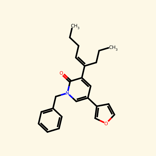 CCCC=C(CCC)c1cc(-c2ccoc2)cn(Cc2ccccc2)c1=O